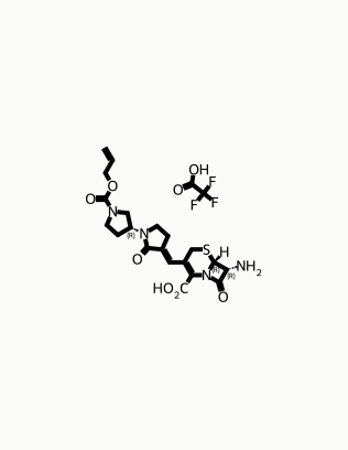 C=CCOC(=O)N1CC[C@@H](N2CCC(=CC3=C(C(=O)O)N4C(=O)[C@@H](N)[C@H]4SC3)C2=O)C1.O=C(O)C(F)(F)F